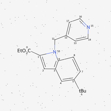 CCOC(=O)c1cc2cc(C(C)(C)C)ccc2n1Cc1ccncc1